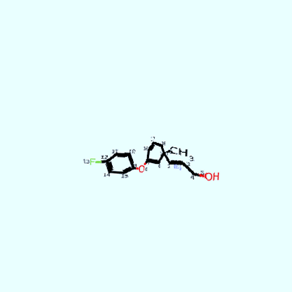 C[C@@]1(/C=C/CO)C=C(Oc2ccc(F)cc2)C=CC1